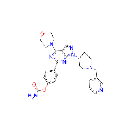 NC(=O)Oc1ccc(-c2nc(N3CCOCC3)c3cnn(C4CCN(Cc5cccnc5)CC4)c3n2)cc1